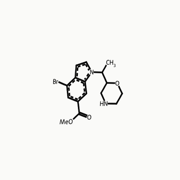 COC(=O)c1cc(Br)c2ccn(C(C)C3CNCCO3)c2c1